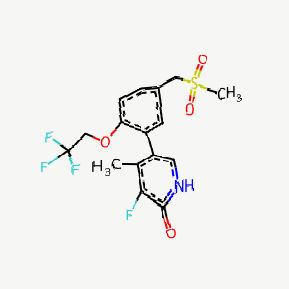 Cc1c(-c2cc(CS(C)(=O)=O)ccc2OCC(F)(F)F)c[nH]c(=O)c1F